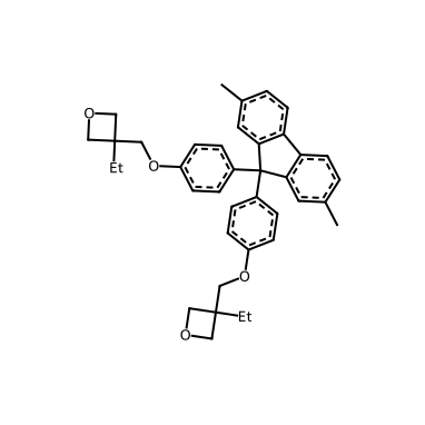 CCC1(COc2ccc(C3(c4ccc(OCC5(CC)COC5)cc4)c4cc(C)ccc4-c4ccc(C)cc43)cc2)COC1